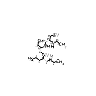 CCNC[C@H](CCS)NC[C@H](CS)NC[C@H](CS)NCC